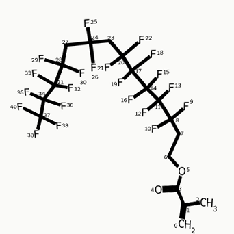 C=C(C)C(=O)OCCC(F)(F)C(F)(F)C(F)(F)C(F)(F)C(F)(F)CC(F)(F)CC(F)(F)C(F)(F)C(F)(F)C(F)(F)F